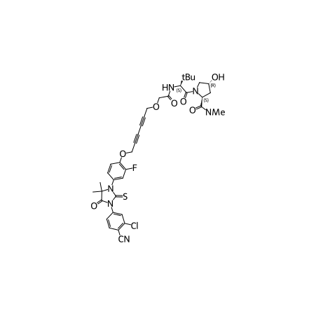 CNC(=O)[C@@H]1C[C@@H](O)CN1C(=O)[C@@H](NC(=O)COCC#CC#CCOc1ccc(N2C(=S)N(c3ccc(C#N)c(Cl)c3)C(=O)C2(C)C)cc1F)C(C)(C)C